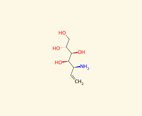 C=C[C@H](N)[C@@H](O)[C@H](O)[C@H](O)CO